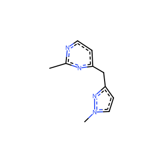 Cc1nccc(Cc2ccn(C)n2)n1